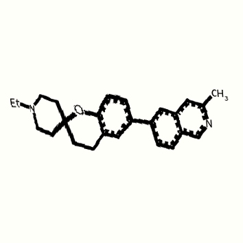 CCN1CCC2(CCc3cc(-c4ccc5cnc(C)cc5c4)ccc3O2)CC1